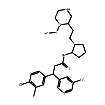 CCCSN1CCNCC1CC[C@H]1CCCC1NC(=O)CC(c1cncc(C(F)(F)F)c1)c1ccc(Cl)c(F)c1